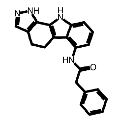 O=C(Cc1ccccc1)Nc1cccc2[nH]c3c(c12)CCc1cn[nH]c1-3